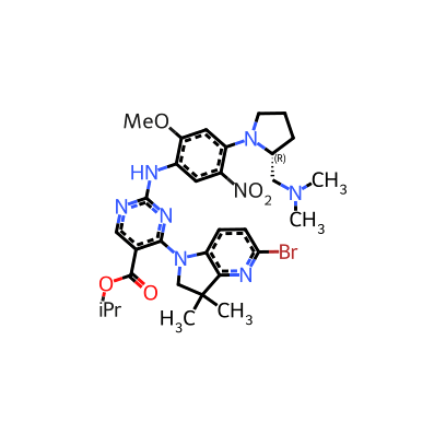 COc1cc(N2CCC[C@@H]2CN(C)C)c([N+](=O)[O-])cc1Nc1ncc(C(=O)OC(C)C)c(N2CC(C)(C)c3nc(Br)ccc32)n1